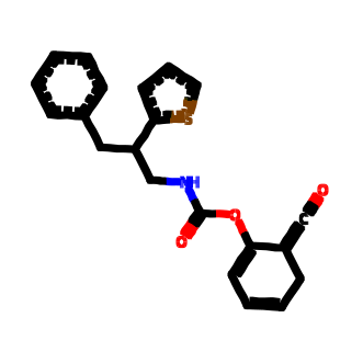 O=C=C1CC=CC=C1OC(=O)NCC(Cc1ccccc1)c1cccs1